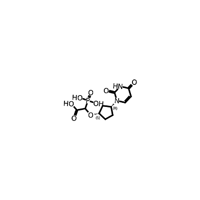 O=C(O)C(O[C@H]1CC[C@@H](n2ccc(=O)[nH]c2=O)C1)P(=O)(O)O